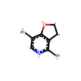 CC(C)c1cnc(C(C)C)c2c1OCC2